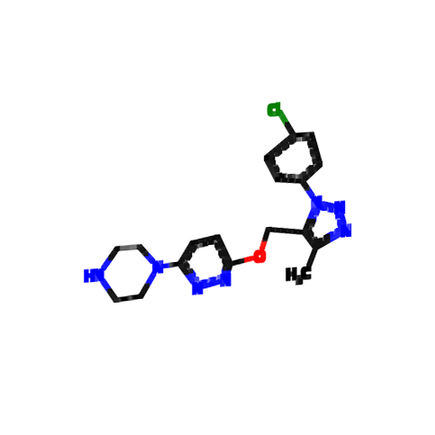 Cc1nnn(-c2ccc(Cl)cc2)c1COc1ccc(N2CCNCC2)nn1